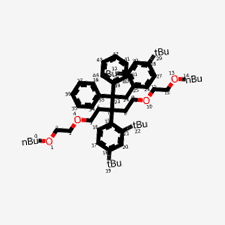 CCCCOCCOCCC(CCOCCOCCCC)(c1ccc(C(C)(C)C)cc1C(C)(C)C)C(Cc1ccc(C(C)(C)C)cc1C(C)(C)C)(c1cc[c]cc1)c1cc[c]cc1